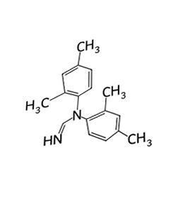 Cc1ccc(N(C=N)c2ccc(C)cc2C)c(C)c1